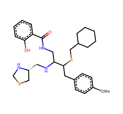 COc1ccc(CC(SCC2CCCCC2)C(CNC(=O)c2ccccc2O)NC[C@@H]2CSCN2)cc1